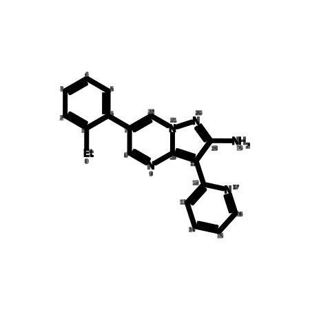 CCc1ccccc1-c1cnc2c(-c3ccccn3)c(N)nn2c1